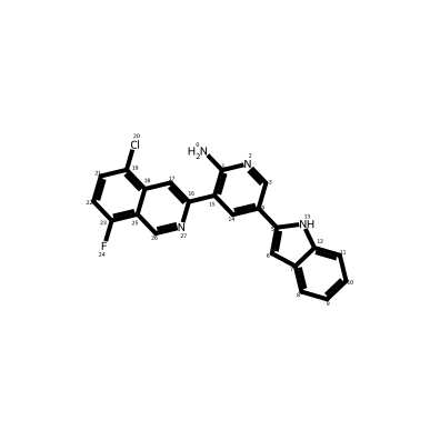 Nc1ncc(-c2cc3ccccc3[nH]2)cc1-c1cc2c(Cl)ccc(F)c2cn1